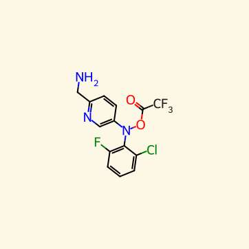 NCc1ccc(N(OC(=O)C(F)(F)F)c2c(F)cccc2Cl)cn1